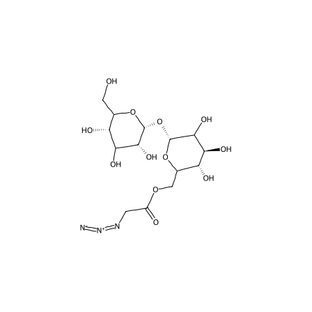 [N-]=[N+]=NCC(=O)OCC1O[C@H](O[C@H]2OC(CO)[C@@H](O)C(O)[C@H]2O)C(O)[C@@H](O)[C@@H]1O